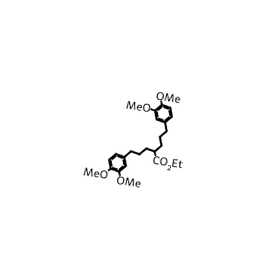 CCOC(=O)C(CCCc1ccc(OC)c(OC)c1)CCCc1ccc(OC)c(OC)c1